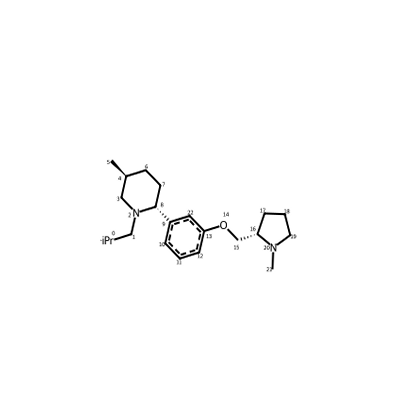 C[C](C)CN1C[C@@H](C)CC[C@@H]1c1cccc(OC[C@@H]2CCCN2C)c1